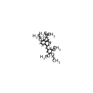 CCCOc1c(OC)cc(Cc2cncc3c(OC(=S)N(C)C)c(OCC)ccc23)cc1OC